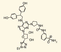 CCn1nnc([C@H]2O[C@@H](n3cnc4c(NCC(c5ccc(O)cc5)c5ccc(O)cc5)nc(N5CCC(NC(=O)Nc6cccc(S(N)(=O)=O)c6)C5)nc43)[C@H](O)[C@@H]2O)n1